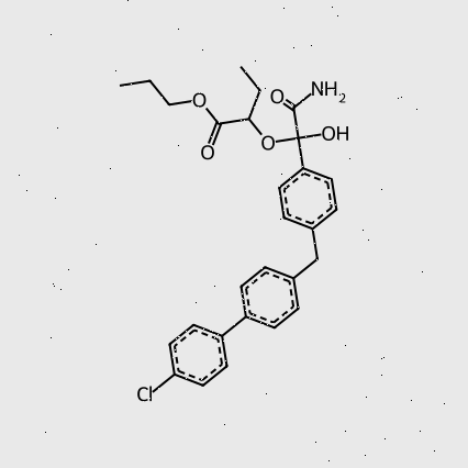 CCCOC(=O)C(CC)OC(O)(C(N)=O)c1ccc(Cc2ccc(-c3ccc(Cl)cc3)cc2)cc1